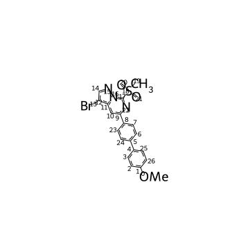 COc1ccc(-c2ccc(-c3cc4c(Br)cnn4c(S(C)(=O)=O)n3)cc2)cc1